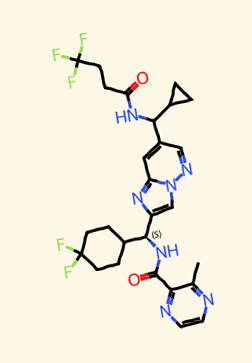 Cc1nccnc1C(=O)N[C@H](c1cn2ncc(C(NC(=O)CCC(F)(F)F)C3CC3)cc2n1)C1CCC(F)(F)CC1